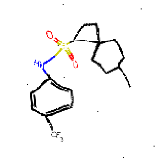 CC1CCC2(CC1)CCC2S(=O)(=O)Nc1ccc(C(F)(F)F)cc1